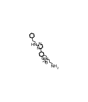 CS(=O)(=O)N(CCCN)Cc1cccc(-c2ccnc(NCCc3ccccc3)n2)c1